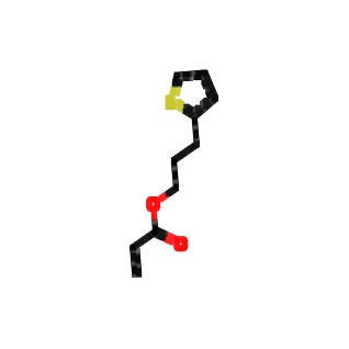 C=CC(=O)OCCCc1cccs1